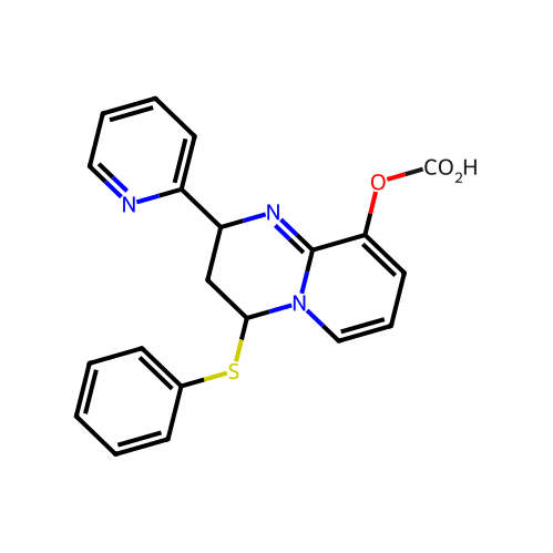 O=C(O)OC1=CC=CN2C1=NC(c1ccccn1)CC2Sc1ccccc1